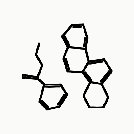 CCCC(=O)c1ccccc1.c1ccc2c(c1)ccc1c3c(ccc12)CCCC3